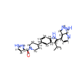 CC(C)c1c(-c2ccnc3[nH]ncc23)[nH]c2ccc(C3CCN(C(=O)c4cc[nH]n4)CC3)cc12